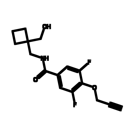 C#CCOc1c(F)cc(C(=O)NCC2(CO)CCC2)cc1F